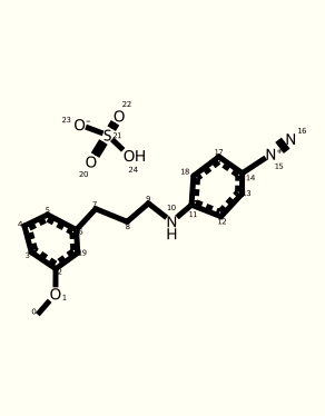 COc1cccc(CCCNc2ccc([N+]#N)cc2)c1.O=S(=O)([O-])O